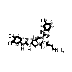 NCCCC[C@@H]1C(=O)N2C[C@@H](NC(=O)Nc3ccc(Cl)c(Cl)c3)C[C@@H]2CN1C(=O)Nc1ccc(Cl)c(Cl)c1